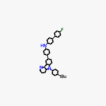 CC(C)(C)c1ccc(-n2c3ccc(-c4ccc(Nc5ccc(-c6ccc(F)cc6)cc5)cc4)cc3c3ncccc32)cc1